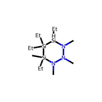 CC[SiH]1N(C)N(C)N(C)[Si](C)(CC)[Si]1(CC)CC